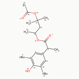 CCCCc1cc(C(C)C(=O)OC(C)CC(C)(C)OC(=O)CC)cc(CCCC)c1O